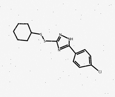 Clc1ccc(-c2nc(SSC3CCCCC3)n[nH]2)cc1